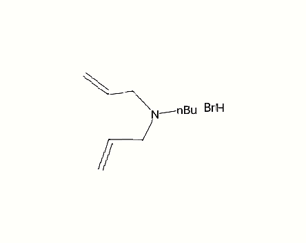 Br.C=CCN(CC=C)CCCC